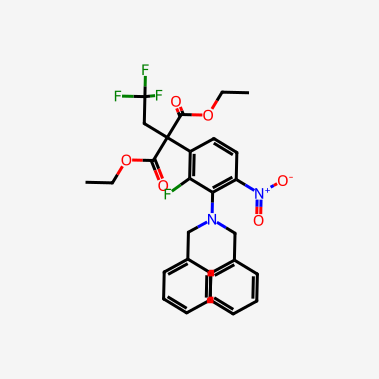 CCOC(=O)C(CC(F)(F)F)(C(=O)OCC)c1ccc([N+](=O)[O-])c(N(Cc2ccccc2)Cc2ccccc2)c1F